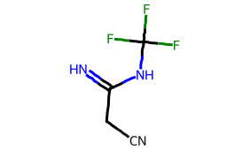 N#CCC(=N)NC(F)(F)F